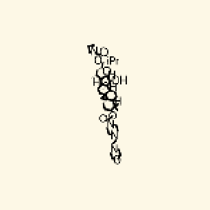 CC(C)[C@@H](OC(=O)N1CCC1)[C@H]1C[C@@H](C)[C@H]2[C@H](O1)[C@H](O)[C@@]1(C)[C@@H]3CC[C@H]4C(C)(C)[C@@H](OC(=O)N5CCN(CCN6CCOCC6)CC5)CC[C@@]45CC35CC[C@]21C